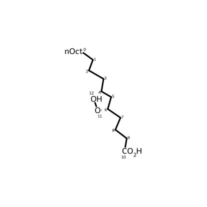 CCCCCCCCCCCCCCCCCC(=O)O.[O]O